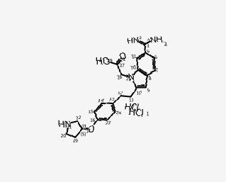 Cl.Cl.N=C(N)c1ccc2cc(CCc3ccc(O[C@H]4CCNC4)cc3)n(CC(=O)O)c2c1